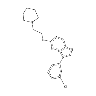 Clc1cccc(-c2cnc3ccc(OCCN4CCCCC4)nn23)c1